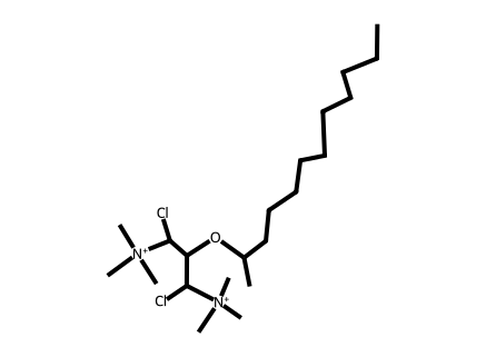 CCCCCCCCCCC(C)OC(C(Cl)[N+](C)(C)C)C(Cl)[N+](C)(C)C